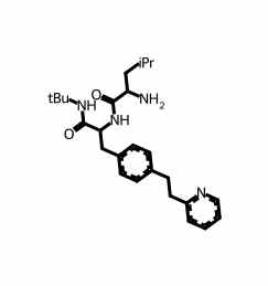 CC(C)CC(N)C(=O)NC(Cc1ccc(CCc2ccccn2)cc1)C(=O)NC(C)(C)C